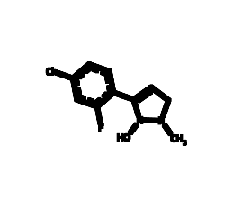 CN1CC=C(c2ccc(Cl)cc2F)N1O